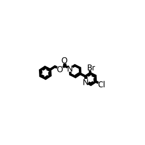 O=C(OCc1ccccc1)N1CC=C(c2ncc(Cl)cc2Br)CC1